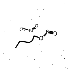 CCCCON=O.O=NCl